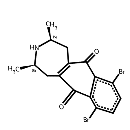 C[C@@H]1CC2=C(C[C@H](C)N1)C(=O)c1c(Br)ccc(Br)c1C2=O